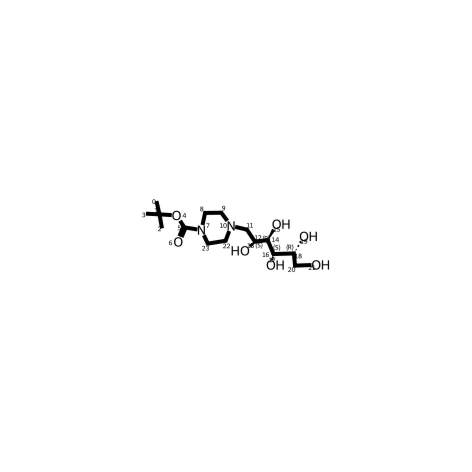 CC(C)(C)OC(=O)N1CCN(C[C@H](O)[C@@H](O)[C@@H](O)[C@H](O)CO)CC1